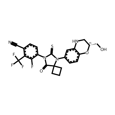 N#Cc1ccc(N2C(=O)C3(CCC3)N(c3ccc4c(c3)NC[C@H](CO)O4)C2=S)c(F)c1C(F)(F)F